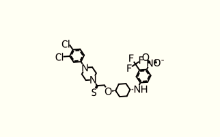 O=[N+]([O-])c1ccc(N[C@H]2CC[C@H](OCC(=S)N3CCN(c4ccc(Cl)c(Cl)c4)CC3)CC2)cc1C(F)(F)F